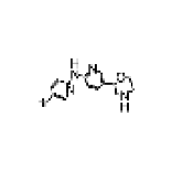 Brc1ccc(Nc2ccc(C3CNCCO3)cn2)nc1